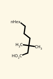 CCCCCCCCCC(C)(C)CC(=O)O